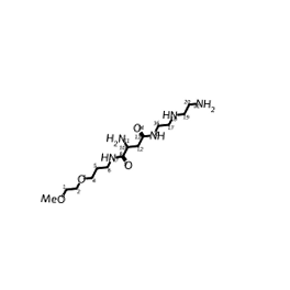 COCCOCCCNC(=O)C(N)CC(=O)NCCNCCN